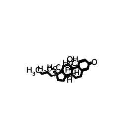 CCCC[C@]1(SC)CC[C@H]2[C@@H]3CCC4=CC(=O)C=C[C@]4(C)C3(F)[C@@H](O)C[C@@]21C